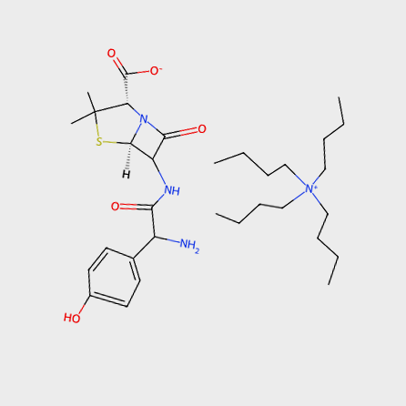 CC1(C)S[C@@H]2C(NC(=O)C(N)c3ccc(O)cc3)C(=O)N2[C@H]1C(=O)[O-].CCCC[N+](CCCC)(CCCC)CCCC